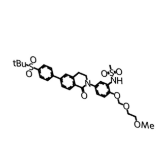 COCCOCOc1ccc(N2CCc3cc(-c4ccc(S(=O)(=O)C(C)(C)C)cc4)ccc3C2=O)cc1NS(C)(=O)=O